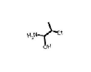 CC[C@H](C)[C@H](N)O